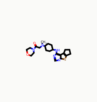 CN(CC(=O)N1CCOCC1)C1CCC(Nc2ncnc3sc4c(c23)CCC4)CC1